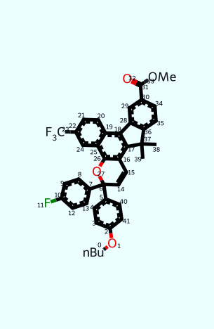 CCCCOc1ccc(C2(c3ccc(F)cc3)C=Cc3c4c(c5ccc(C(F)(F)F)cc5c3O2)-c2cc(C(=O)OC)ccc2C4(C)C)cc1